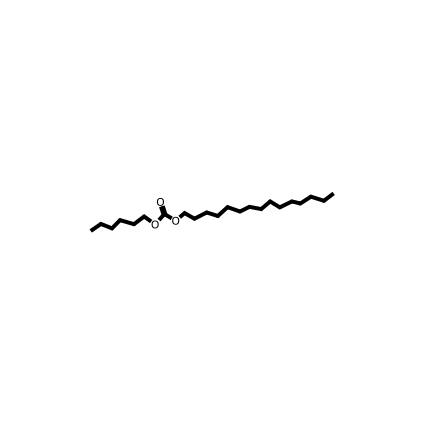 CCCCCCCCCCCCCCCOC(=O)OCCCCCC